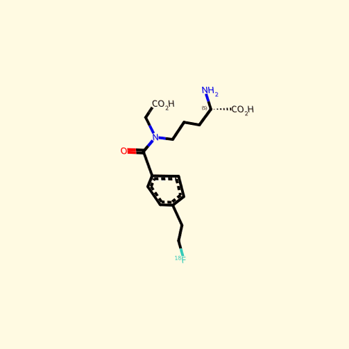 N[C@@H](CCCN(CC(=O)O)C(=O)c1ccc(CC[18F])cc1)C(=O)O